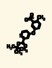 Cc1ccc(Oc2ccnc(C(=O)OC(C)(C)C)c2)cc1[N+](=O)[O-]